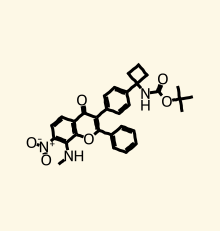 CNc1c([N+](=O)[O-])ccc2c(=O)c(-c3ccc(C4(NC(=O)OC(C)(C)C)CCC4)cc3)c(-c3ccccc3)oc12